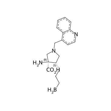 BCCC[C@H]1CN(Cc2ccnc3ccccc23)C[C@@]1(N)C(=O)O